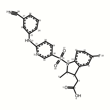 CC1C(CC(=O)O)c2cc(F)ccc2N1S(=O)(=O)c1ccc(Nc2cccc(C#N)c2)nc1